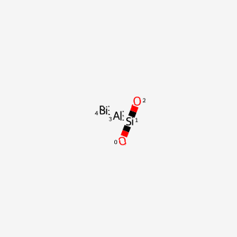 O=[Si]=O.[Al].[Bi]